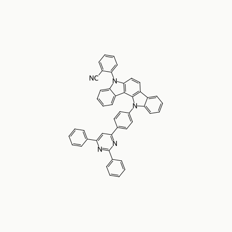 N#Cc1ccccc1-n1c2ccccc2c2c1ccc1c3ccccc3n(-c3ccc(-c4cc(-c5ccccc5)nc(-c5ccccc5)n4)cc3)c12